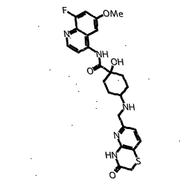 COc1cc(F)c2nccc(NC(=O)C3(O)CCC(NCc4ccc5c(n4)NC(=O)CS5)CC3)c2c1